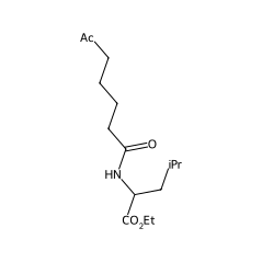 CCOC(=O)C(CC(C)C)NC(=O)CCCCC(C)=O